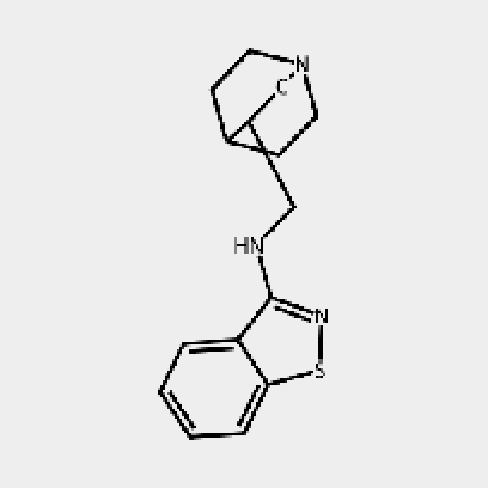 c1ccc2c(NCC3CN4CCC3CC4)nsc2c1